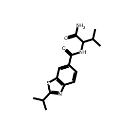 CC(C)c1nc2ccc(C(=O)NC(C(N)=O)C(C)C)cc2s1